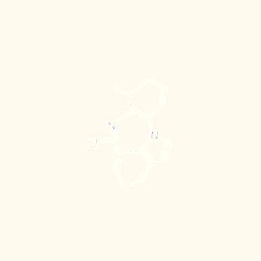 CC1CC=CC2=C1N=C(Cl)C1=CCCc3ccn2c31